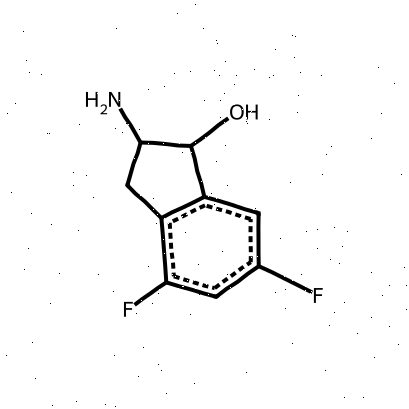 NC1Cc2c(F)cc(F)cc2C1O